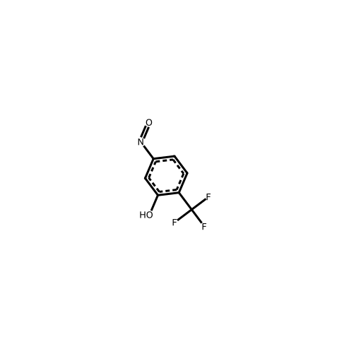 O=Nc1ccc(C(F)(F)F)c(O)c1